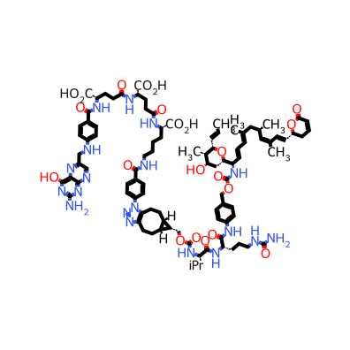 C/C=C/[C@@H]1O[C@H]([C@@H](/C=C/C=C(\C)C[C@@H](C)/C=C(C)\C=C\[C@H]2CC=CC(=O)O2)NC(=O)OCc2ccc(NC(=O)[C@H](CCCNC(N)=O)NC(=O)[C@@H](NC(=O)OC[C@@H]3[C@@H]4CCc5nnn(-c6ccc(C(=O)NCCCC[C@H](NC(=O)CC[C@H](NC(=O)CC[C@H](NC(=O)c7ccc(NCc8cnc9nc(N)nc(O)c9n8)cc7)C(=O)O)C(=O)O)C(=O)O)cc6)c5CC[C@@H]43)C(C)C)cc2)C[C@@H](O)[C@@H]1C